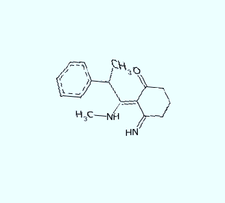 CN/C(=C1\C(=N)CCCC1=O)C(C)c1ccccc1